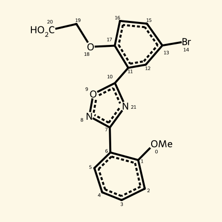 COc1ccccc1-c1noc(-c2cc(Br)ccc2OCC(=O)O)n1